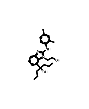 CCCC(O)(CCC)c1cccc2nc(Nc3ccc(C)cc3C)n(CCO)c12